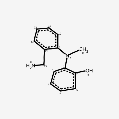 CN(c1ccccc1O)c1ccccc1CN